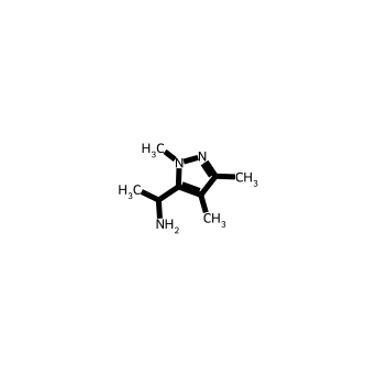 Cc1nn(C)c(C(C)N)c1C